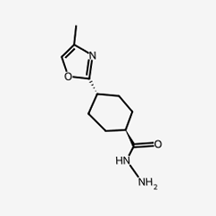 Cc1coc([C@H]2CC[C@H](C(=O)NN)CC2)n1